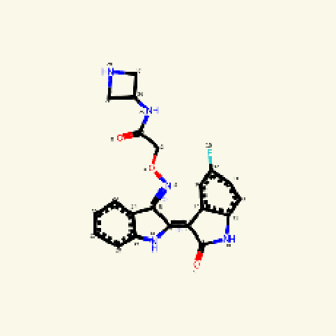 O=C(CO/N=C1/C(=C2/C(=O)Nc3ccc(F)cc32)Nc2ccccc21)NC1CNC1